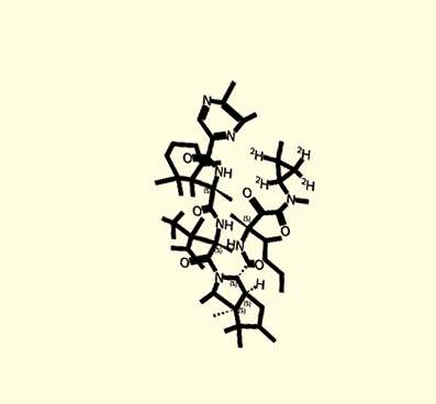 [2H]C1([2H])C([2H])(C)C1([2H])N(C)C(=O)C(=O)[C@@](C)(NC(=O)[C@@H]1[C@H]2CC(C)C(C)(C)[C@@]2(C)C(C)N1C(=O)[C@@](C)(NC(=O)[C@@](C)(NC(=O)c1cnc(C)c(C)n1)C1(C)C(C)CCCC1(C)C)C(C)(C(C)C)C(C)(C)C)C(C)CCC